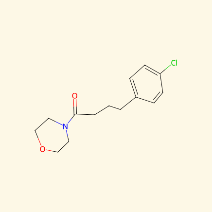 O=C(CCCc1ccc(Cl)cc1)N1CCOCC1